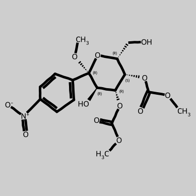 COC(=O)O[C@@H]1[C@H](OC(=O)OC)[C@@H](O)[C@@](OC)(c2ccc([N+](=O)[O-])cc2)O[C@@H]1CO